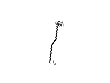 CCCCCCCCCCCCC#CC#CCCCCCCCCCOP(=O)(O)O